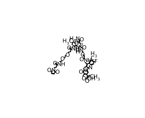 CC[C@@]1(O)C(=O)OCc2c1cc1n(c2=O)Cc2c-1nc1cc(F)c(C)cc1c2CNC(=O)COCNC(=O)[C@H](CCC(N)=O)NC(=O)[C@H](CC(C)C)NC(=O)CCOCCOCCNC(=O)CCN1C(=O)C=CC1=O